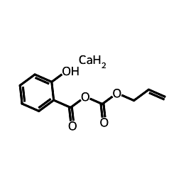 C=CCOC(=O)OC(=O)c1ccccc1O.[CaH2]